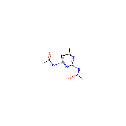 CC(=O)Nc1cc(C)nc(NC(C)=O)n1